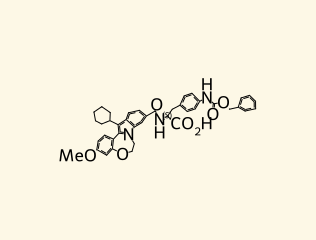 COc1ccc2c(c1)OCCn1c-2c(C2CCCCC2)c2ccc(C(=O)N[C@@H](Cc3ccc(NC(=O)OCc4ccccc4)cc3)C(=O)O)cc21